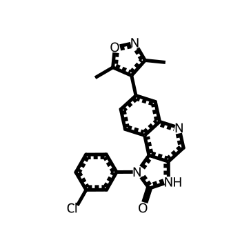 Cc1noc(C)c1-c1ccc2c(c1)ncc1[nH]c(=O)n(-c3cccc(Cl)c3)c12